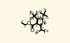 CCOC(=O)c1c(C(F)F)nn(C(C)(C)C)c1C(F)(F)F